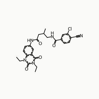 CCn1c(=O)c2cc(NC(=O)CC(C)CNC(=O)c3ccc(C#N)c(Cl)c3)ccc2n(CC)c1=O